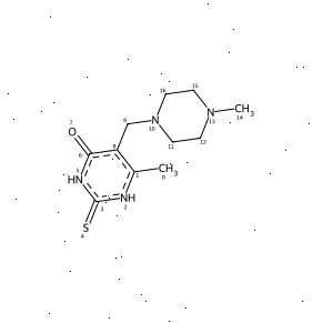 Cc1[nH]c(=S)[nH]c(=O)c1CN1CCN(C)CC1